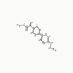 C=C(NCCC)c1ccc(C2=NOC(CCF)=CC2)cc1